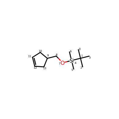 CC(C)(C)[Si](C)(C)OCC1CC=CC1